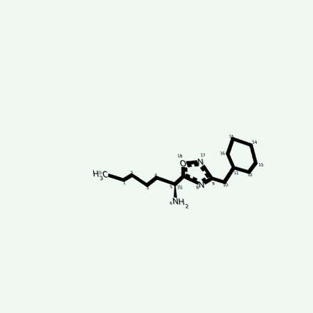 CCCCC[C@H](N)c1nc(CC2CCCCC2)no1